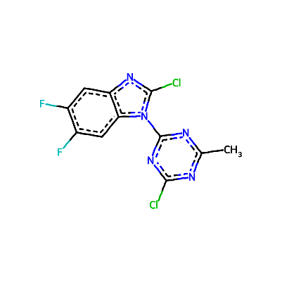 Cc1nc(Cl)nc(-n2c(Cl)nc3cc(F)c(F)cc32)n1